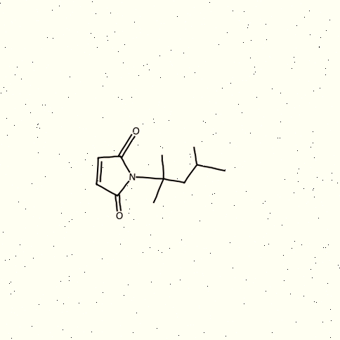 CC(C)CC(C)(C)N1C(=O)C=CC1=O